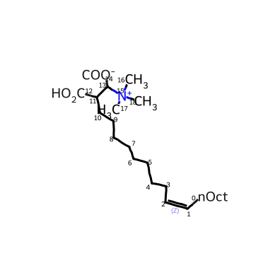 CCCCCCCC/C=C\CCCCCCCCC(C(=O)O)C(C(=O)[O-])[N+](C)(C)C